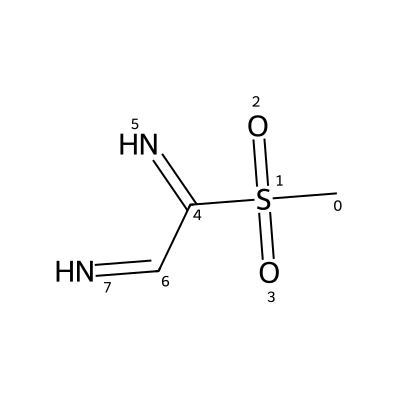 CS(=O)(=O)C(=N)C=N